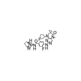 CN1C(=O)C2(CC2)CN(C2CCCCC2)c2nc(Nc3cc(F)c(C(=O)N[C@H]4C[C@H]5CCC[C@@H](C4)N5C)cc3F)ncc21